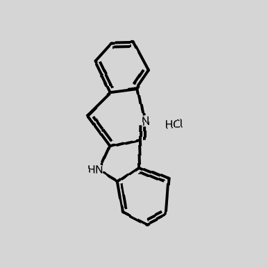 Cl.c1ccc2nc3c(cc2c1)[nH]c1ccccc13